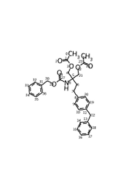 CC(=O)OCC(CCc1ccc(Cc2ccccc2)cc1)(COC(C)=O)NC(=O)OCc1ccccc1